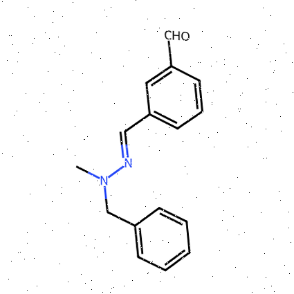 CN(Cc1ccccc1)N=Cc1cccc(C=O)c1